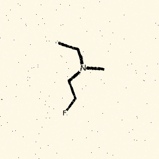 [CH2]CN(C)CCF